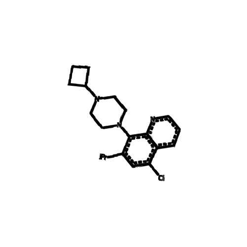 CC(C)c1cc(Cl)c2cccnc2c1N1CCN(C2CCC2)CC1